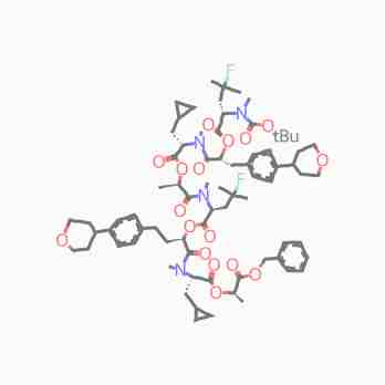 C[C@@H](OC(=O)[C@H](CC1CC1)N(C)C(=O)[C@@H](CCc1ccc(C2CCOCC2)cc1)OC(=O)[C@H](CC(C)(C)F)N(C)C(=O)[C@@H](C)OC(=O)[C@H](CC1CC1)N(C)C(=O)[C@@H](Cc1ccc(C2CCOCC2)cc1)OC(=O)[C@H](CC(C)(C)F)N(C)C(=O)OC(C)(C)C)C(=O)OCc1ccccc1